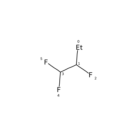 CCC(F)C(F)F